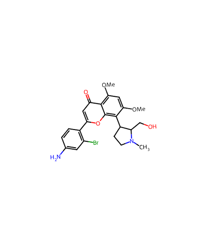 COc1cc(OC)c2c(=O)cc(-c3ccc(N)cc3Br)oc2c1C1CCN(C)C1CO